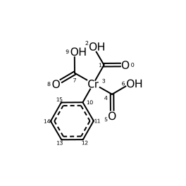 O=[C](O)[Cr]([C](=O)O)([C](=O)O)[c]1ccccc1